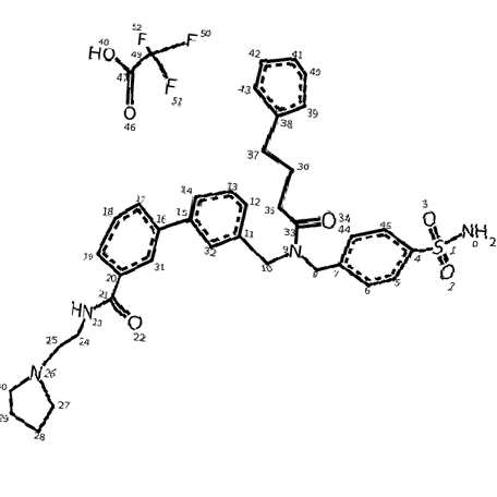 NS(=O)(=O)c1ccc(CN(Cc2cccc(-c3cccc(C(=O)NCCN4CCCC4)c3)c2)C(=O)CCCc2ccccc2)cc1.O=C(O)C(F)(F)F